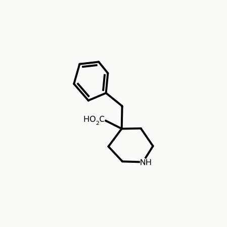 O=C(O)C1(Cc2ccccc2)CCNCC1